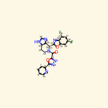 O=C(c1nnc(-c2ccccn2)o1)N1CCc2[nH]cnc2[C@H]1c1nc2c(F)cc(F)cc2o1